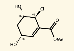 COC(=O)C1=C[C@H](O)C[C@H](O)[C@H]1Cl